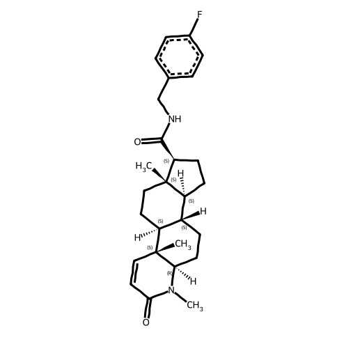 CN1C(=O)C=C[C@]2(C)[C@H]3CC[C@]4(C)[C@@H](C(=O)NCc5ccc(F)cc5)CC[C@H]4[C@@H]3CC[C@@H]12